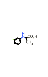 CC(Nc1cccc(F)c1)C(=O)O